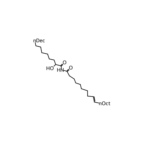 CCCCCCCCC=CCCCCCCCC(=O)NC(=O)C(O)CCCCCCCCCCCCCCCC